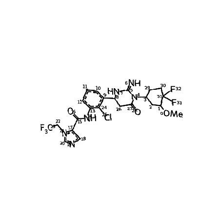 COC1CC(N2C(=N)NC(c3cccc(NC(=O)c4cncn4CC(F)(F)F)c3Cl)CC2=O)CCC1(F)F